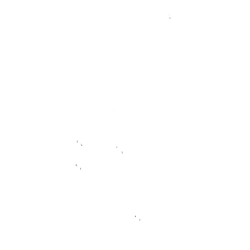 CCn1c(SCc2ccc(Br)cc2)nnc1-c1cccnc1